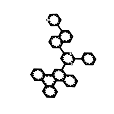 c1ccc(-c2nc(-c3cccc4c(-c5cccnc5)cccc34)cc(-c3cc4c5ccccc5c5ccccc5c4c4ccccc34)n2)cc1